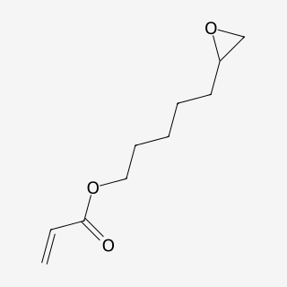 C=CC(=O)OCCCCCC1CO1